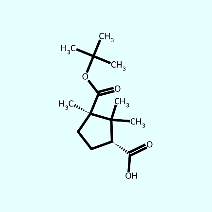 CC(C)(C)OC(=O)[C@]1(C)CC[C@@H](C(=O)O)C1(C)C